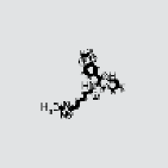 Cc1noc(CCCCC(=O)N[C@H](CN2CC[C@@H](F)C2)[C@H](O)c2ccc3c(c2)OCCO3)n1